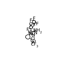 Nc1ncnc2c1c(-c1ccc(Oc3c(F)c(F)cc(F)c3F)cc1F)nn2C1CCCCCC(C(=O)CC(=O)C(F)(F)F)C1